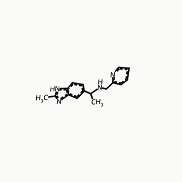 Cc1nc2cc(C(C)NCc3ccccn3)ccc2[nH]1